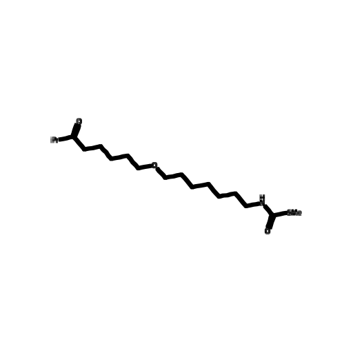 CSC(=O)NCCCCCCCOCCCCCC(=O)C(C)C